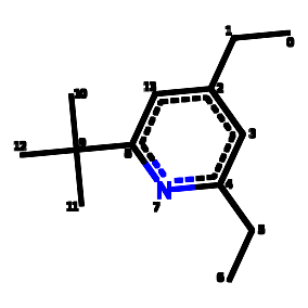 CCc1cc(CC)nc(C(C)(C)C)c1